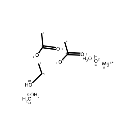 CC(=O)[O-].CC(=O)[O-].CCO.O.O.O.O.[Mg+2]